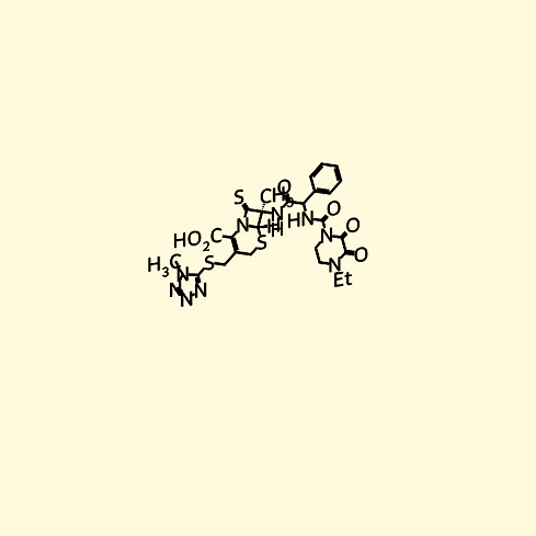 CCN1CCN(C(=O)NC(C(=O)N[C@]2(C)C(=S)N3C(C(=O)O)=C(CSc4nnnn4C)CS[C@H]32)c2ccccc2)C(=O)C1=O